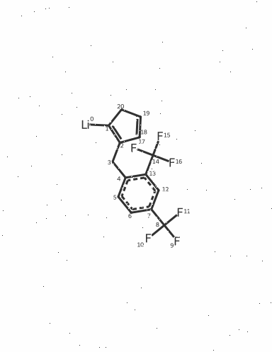 [Li][C]1=C(Cc2ccc(C(F)(F)F)cc2C(F)(F)F)C=CC1